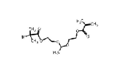 C=C(C)C(=O)OCCOC(C)OCCOC(=O)C(C)(C)Br